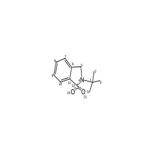 CC(C)(C)N1Cc2c[c]ccc2S1(=O)=O